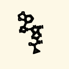 O=C(Nc1nc2[nH]nc(-n3cncc3-c3cccc4c3OCO4)c2s1)C1CC1